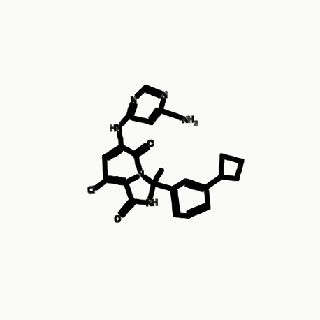 CC1(c2cccc(C3CCC3)c2)NC(=O)c2c(Cl)cc(Nc3cc(N)ncn3)c(=O)n21